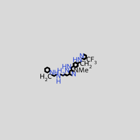 C=C(CCNCC/C=C/c1cnc(NC)c(C(=N)c2ccc(C(=C)Nc3cc(C(F)(F)F)ccn3)cc2)c1N)NC1CCCCC1